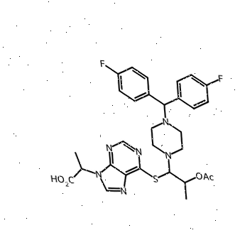 CC(=O)OC(C)C(Sc1ncnc2c1ncn2C(C)C(=O)O)N1CCN(C(c2ccc(F)cc2)c2ccc(F)cc2)CC1